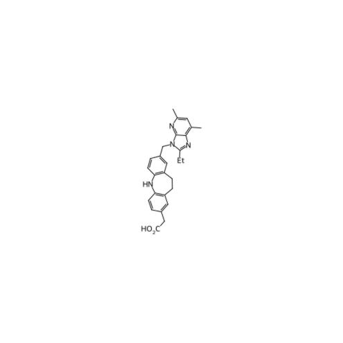 CCc1nc2c(C)cc(C)nc2n1Cc1ccc2c(c1)CCc1cc(CC(=O)O)ccc1N2